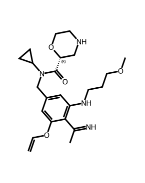 C=COc1cc(CN(C(=O)[C@H]2CNCCO2)C2CC2)cc(NCCCOC)c1C(C)=N